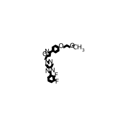 COCCCOc1ccc(-c2cc(Cn3cc4nc(-c5cccc(F)c5F)nc-4cn3)on2)cc1